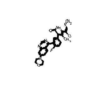 C=N/C=C(Cl)\C=C(/C)C(C(N)=O)c1ccc(F)c(-c2ncnc3cc(N4CCOCC4)ccc23)c1